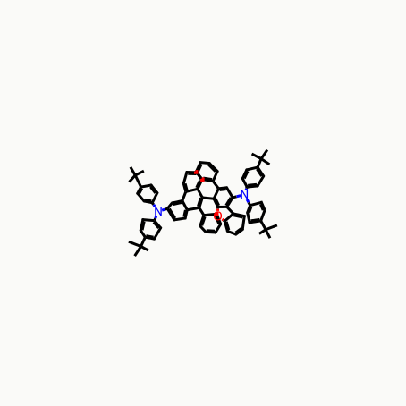 CC(C)(C)c1ccc(N(c2ccc(C(C)(C)C)cc2)c2ccc3c(-c4ccccc4)c(-c4c(-c5ccccc5)cc(N(c5ccc(C(C)(C)C)cc5)c5ccc(C(C)(C)C)cc5)c5c4oc4ccccc45)c4ccccc4c3c2)cc1